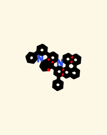 c1ccc(-c2ccc(N(c3ccc(-c4cccc5c6ccccc6n(-c6ccccc6)c45)cc3)c3ccccc3-c3cccc4cccc(-c5ccccc5)c34)c(-c3ccccc3)c2)cc1